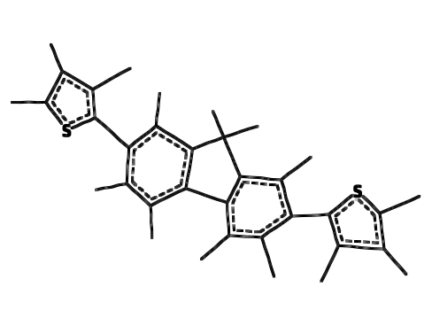 Cc1sc(-c2c(C)c(C)c3c(c2C)C(C)(C)c2c(C)c(-c4sc(C)c(C)c4C)c(C)c(C)c2-3)c(C)c1C